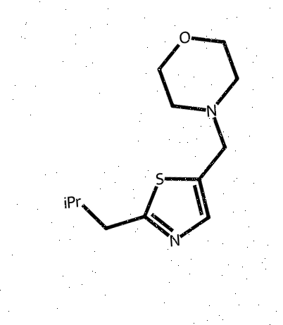 CC(C)Cc1ncc(CN2CCOCC2)s1